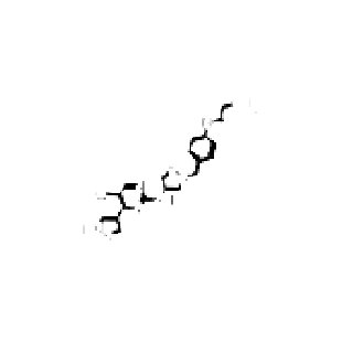 C=CC(=O)Nc1ccc(Cn2cc(Nc3ncc(Cl)c(-c4cn[nH]c4)n3)cn2)cc1